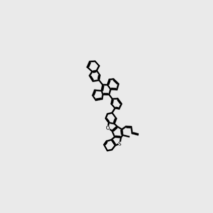 C=C/C=C\c1c(C)c2sc3c(c2c2oc4c(c12)=CC(c1cccc(-c2c5ccccc5c(-c5ccc6c(c5)CCC=C6)c5ccccc25)c1)CC=4)C=CCC3